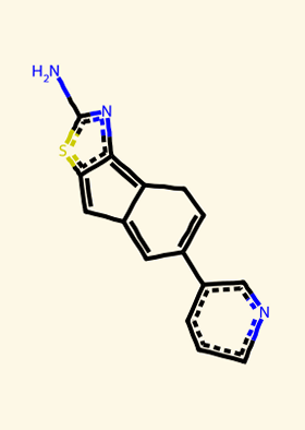 Nc1nc2c(s1)=CC1=CC(c3cccnc3)=CCC=21